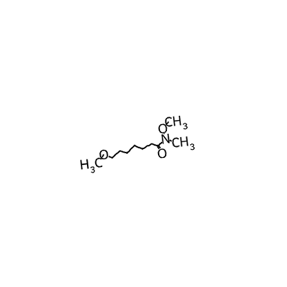 COCCCCCCC(=O)N(C)OC